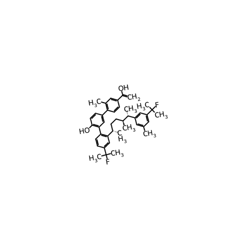 C=C(O)c1ccc(-c2ccc(O)c(-c3ccc(C(C)(C)F)cc3[C@@H](C)CC[C@H](C)[C@H](C)c3cc(C)cc(C(C)(C)F)c3)c2)c(C)c1